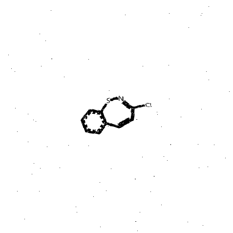 ClC1=NSc2ccccc2C=C1